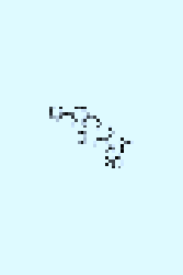 CCCC(CC1CC(=O)c2c(ccc(C3=CCCC3)c2C)C1)C(CC)C(=O)CC(C)=O